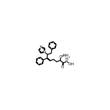 NOC(CCC=C(c1ccccc1)C(Cc1ccccc1)n1ccnc1)C(=O)NO